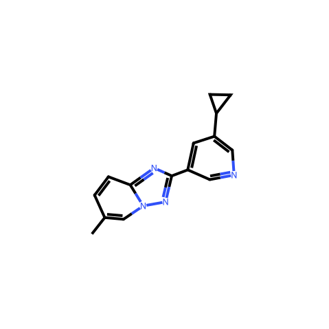 Cc1ccc2nc(-c3cncc(C4CC4)c3)nn2c1